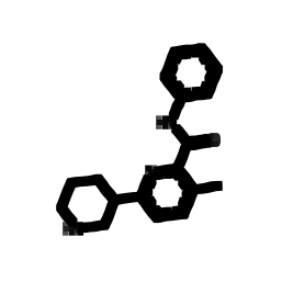 Cc1ccc(C2CCCNC2)nc1C(=O)Nc1ccccc1